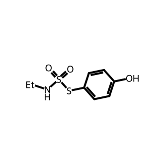 CCNS(=O)(=O)Sc1ccc(O)cc1